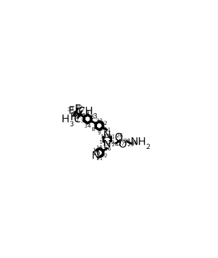 CC(C)(c1ccc(-c2ccc(CN3CCN(Cc4ccncc4)[C@@H](CC(=O)OCCN)C3)cc2)cc1)C(F)(F)F